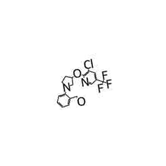 O=Cc1ccccc1N1CCC(Oc2ncc(C(F)(F)F)cc2Cl)C1